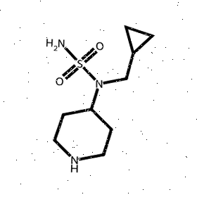 NS(=O)(=O)N(CC1CC1)C1CCNCC1